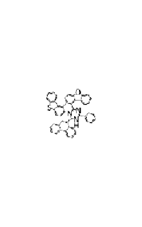 c1ccc(C2=NC(c3c(-c4cccc5sc6ccccc6c45)ccc4oc5ccccc5c34)=NC(c3cc4ccccc4c4ccccc34)N2)cc1